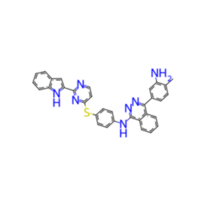 Cc1ccc(-c2nnc(Nc3ccc(Sc4ccnc(-c5cc6ccccc6[nH]5)n4)cc3)c3ccccc23)cc1N